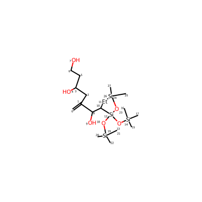 C=C(CC(O)CCO)C(O)C(CC)[Si](O[Si](C)(C)C)(O[Si](C)(C)C)O[Si](C)(C)C